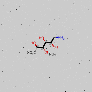 NC[C@@H](O)[C@@H](O)[C@H](O)[C@@H](O)C(=O)O.[NaH]